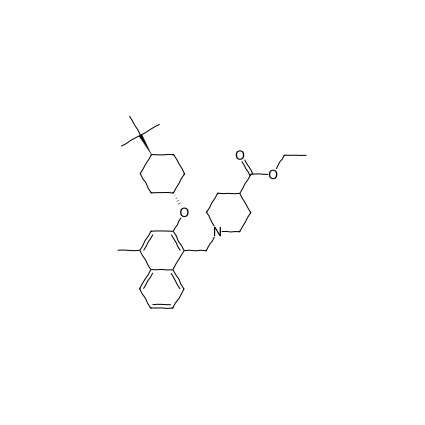 CCOC(=O)C1CCN(Cc2c(O[C@H]3CC[C@H](C(C)(C)C)CC3)cc(C)c3ccccc23)CC1